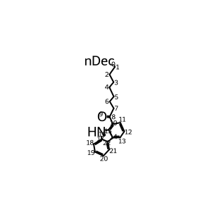 CCCCCCCCCCCCCCCCCC(=O)c1cccc2c1[nH]c1ccccc12